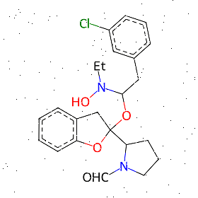 CCN(O)C(Cc1cccc(Cl)c1)OC1(C2CCCN2C=O)Cc2ccccc2O1